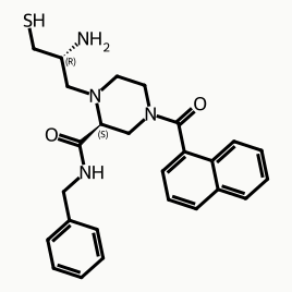 N[C@@H](CS)CN1CCN(C(=O)c2cccc3ccccc23)C[C@H]1C(=O)NCc1ccccc1